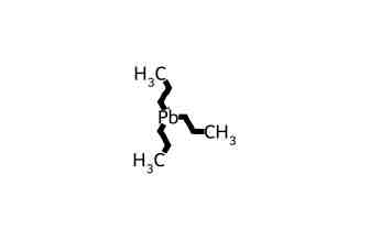 CC[CH2][Pb]([CH2]CC)[CH2]CC